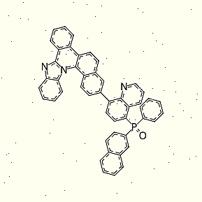 O=P(c1ccccc1)(c1ccc2ccccc2c1)c1ccc(-c2ccc3c(ccc4c5ccccc5c5nc6ccccc6n5c34)c2)c2ncccc12